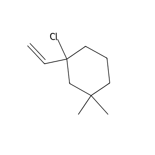 C=CC1(Cl)CCCC(C)(C)C1